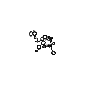 C[C@@H](COc1ccnc2c1[C@H](C)CCC2)C[C@H]1Cc2ccc(OP(=O)(O)OCC(=O)NCCc3ccccc3)cc2C12CCC(Nc1cccc(Cl)c1)(C(=O)O)CC2